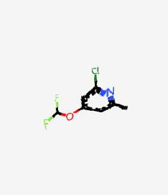 Cc1cc(OC(F)F)cc(Cl)n1